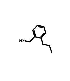 SCc1ccccc1CCI